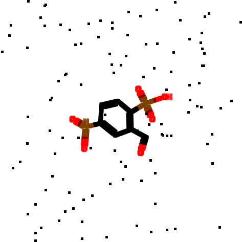 O=Cc1cc([SH](=O)=O)ccc1S(=O)(=O)O